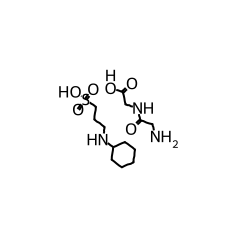 NCC(=O)NCC(=O)O.O=S(=O)(O)CCCNC1CCCCC1